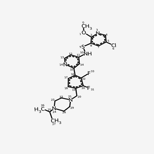 COc1ncc(Cl)cc1SNc1ccnc(-c2ccc(CN3CCN(C(C)C)CC3)c(F)c2F)c1